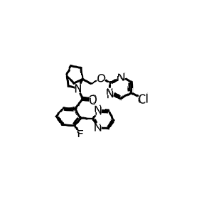 O=C(c1cccc(F)c1-c1ncccn1)N1CC2CCC1(COc1ncc(Cl)cn1)C2